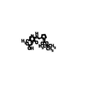 Cc1cnc(NC[C@H]2CCCN2C(=O)OC(C)(C)C)c(=O)n1CC(=O)O